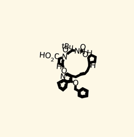 CC(C)(C)[C@@H]1NC(=O)O[C@@H]2CCC[C@H]2CC/C=C/Cc2c(nc3ccccc3c2OCc2ccccc2)O[C@@H]2C[C@@H](C(=O)O)N(C2)C1=O